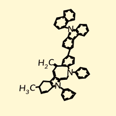 C=C1/C=c2/c3c(n(-c4ccccc4)/c2=C/N(c2ccccc2)c2ccc(-c4ccc5c(c4)c4ccccc4n5-c4cccc5ccccc45)cc21)C=CC(C)C3